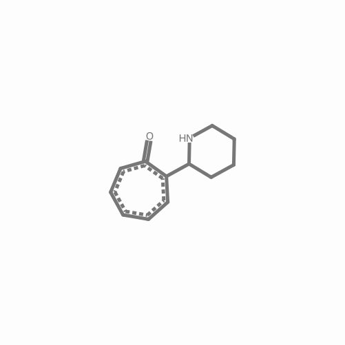 O=c1cccccc1C1CCCCN1